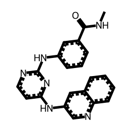 CNC(=O)c1cccc(Nc2nccc(Nc3cnc4ccccc4c3)n2)c1